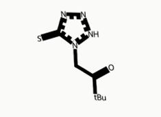 CC(C)(C)C(=O)Cn1[nH]nnc1=S